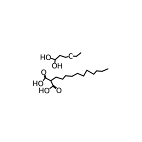 CCCCCC(O)O.CCCCCCCCCCCC(C(=O)O)C(=O)O